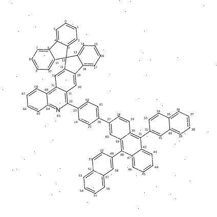 c1ccc2c(c1)-c1ccccc1C21c2ccccc2-c2cc3c(-c4ccc(-c5ccc6c(-c7ccc8ccccc8c7)c7ccccc7c(-c7ccc8ccccc8c7)c6c5)cc4)nc4ccccc4c3cc21